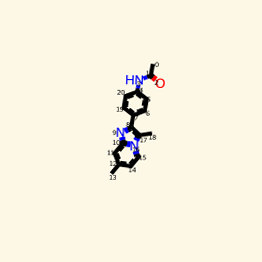 CC(=O)Nc1ccc(-c2nc3cc(C)ccn3c2C)cc1